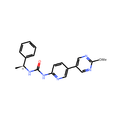 COc1ncc(-c2ccc(NC(=O)N[C@@H](C)c3ccccc3)nc2)cn1